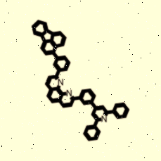 c1ccc(-c2cc(-c3cccc(-c4ccc5ccc6ccc(-c7cccc(-c8ccc9c%10c(cccc8%10)-c8ccccc8-9)c7)nc6c5n4)c3)cc(-c3ccccc3)n2)cc1